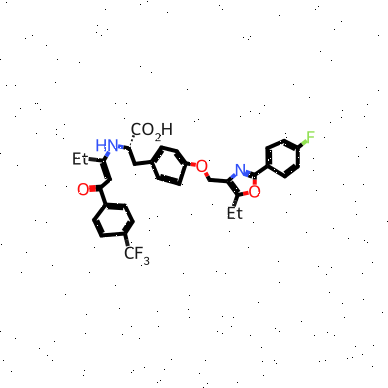 CC/C(=C\C(=O)c1ccc(C(F)(F)F)cc1)N[C@@H](Cc1ccc(OCc2nc(-c3ccc(F)cc3)oc2CC)cc1)C(=O)O